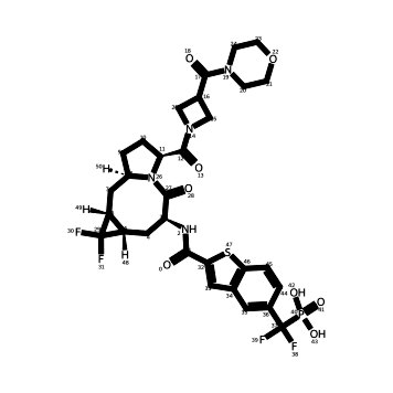 O=C(N[C@H]1C[C@H]2[C@@H](C[C@H]3CC[C@@H](C(=O)N4CC(C(=O)N5CCOCC5)C4)N3C1=O)C2(F)F)c1cc2cc(C(F)(F)P(=O)(O)O)ccc2s1